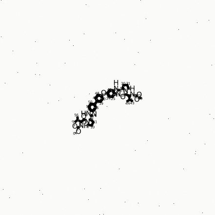 COC(=O)N[C@H](C(=O)N1CCC[C@H]1c1nc2cc(-c3ccc(Oc4ccc5nc([C@@H]6CCCN6C(=O)[C@@H](NC6OCO6)C(C)C)[nH]c5c4)cc3)ccc2[nH]1)C(C)C